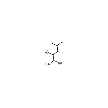 CC(C)CC(O)C(N)O